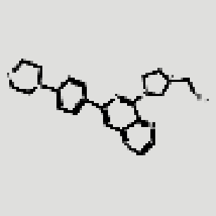 NC[C@@H]1CCN(c2nc(-c3ccc(N4CCOCC4)cc3)cc3nccnc23)C1